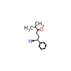 CC(C)C(=O)CCC(C#N)c1ccccc1